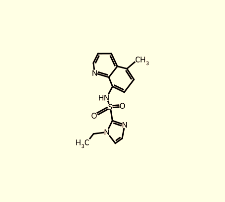 CCn1ccnc1S(=O)(=O)Nc1ccc(C)c2cccnc12